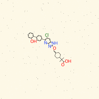 CC(C)(C(=O)O)C1CCC(=COc2nc3nc(-c4ccc(-c5ccccc5O)cc4)c(Cl)cc3[nH]2)CC1